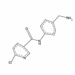 NCc1ccc(NC(=O)c2ccc(Cl)nc2)cc1